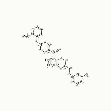 COc1ccccc1CN1CCN(C(=O)[C@H](NC(=O)O)C2CCN(CCc3cccc(Cl)c3)CC2)CC1